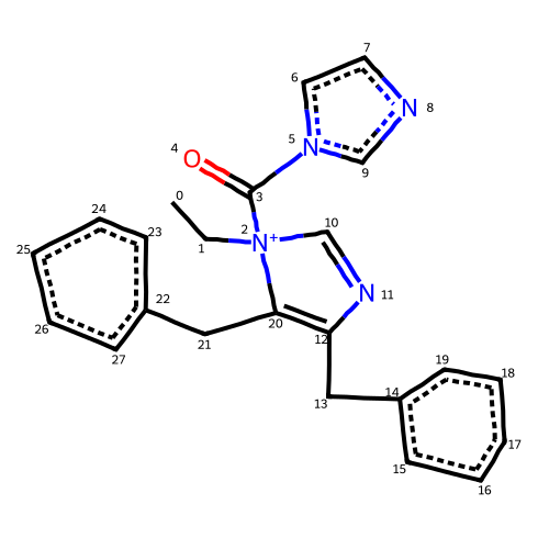 CC[N+]1(C(=O)n2ccnc2)C=NC(Cc2ccccc2)=C1Cc1ccccc1